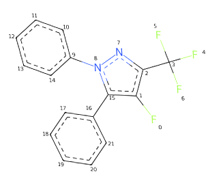 Fc1c(C(F)(F)F)nn(-c2ccccc2)c1-c1ccccc1